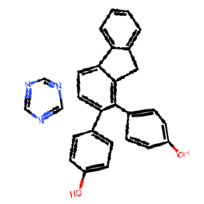 Oc1ccc(-c2ccc3c(c2-c2ccc(O)cc2)Cc2ccccc2-3)cc1.c1ncncn1